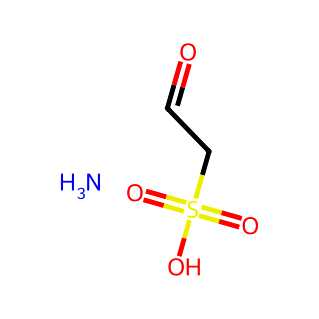 N.O=CCS(=O)(=O)O